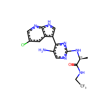 C[C@H](Nc1ncc(N)c(-c2c[nH]c3ncc(Cl)cc23)n1)C(=O)NCC(F)(F)F